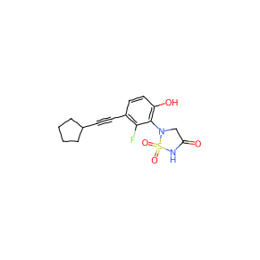 O=C1CN(c2c(O)ccc(C#CC3CCCC3)c2F)S(=O)(=O)N1